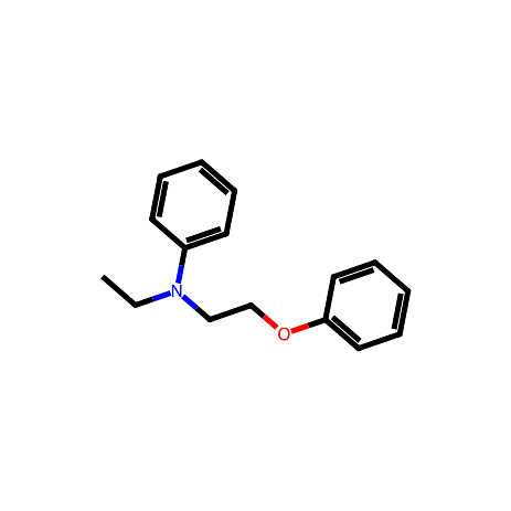 CCN(CCOc1ccccc1)c1ccccc1